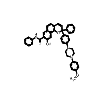 COc1ccc(N2CCN(c3ccc(C4(c5ccccc5)C=Cc5ccc6cc(C(=O)Nc7ccccc7)c(O)cc6c5O4)cc3)CC2)cc1